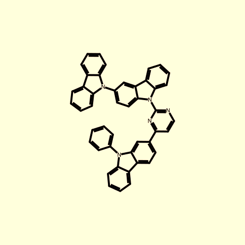 c1ccc(-n2c3ccccc3c3ccc(-c4ccnc(-n5c6ccccc6c6cc(-n7c8ccccc8c8ccccc87)ccc65)n4)cc32)cc1